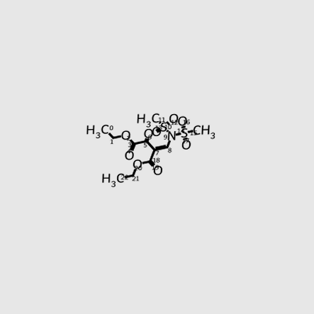 CCOC(=O)C(=O)/C(=C\N(S(C)(=O)=O)S(C)(=O)=O)C(=O)OCC